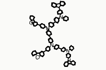 c1ccc(N(c2ccc(-c3ccc(N(c4ccc(-c5ccc(N(c6ccc(-c7ccc(N(c8ccccc8)c8ccc(-n9c%10ccccc%10c%10ccccc%109)cc8)cc7)cc6)c6ccc(-c7ccc8oc9ccccc9c8c7)cc6)cc5)cc4)c4ccc(-c5ccc6oc7ccccc7c6c5)cc4)cc3)cc2)c2ccc(C3c4ccccc4-c4ccccc43)cc2)cc1